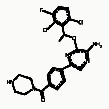 CC(Oc1nc(-c2ccc(C(=O)N3CCNCC3)cc2)cnc1N)c1c(Cl)ccc(F)c1Cl